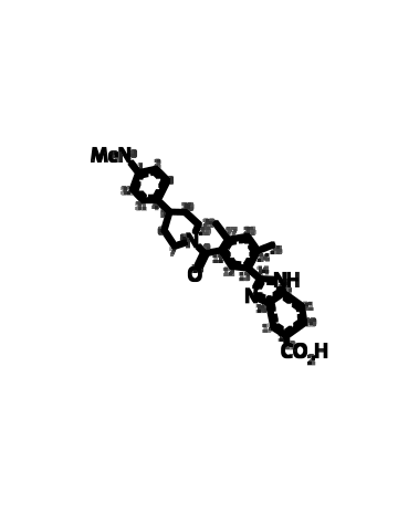 CNc1ccc(C2CCN(C(=O)c3cc(-c4nc5cc(C(=O)O)ccc5[nH]4)c(C)cc3C)CC2)cc1